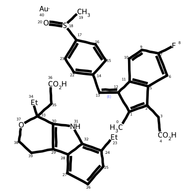 CC1=C(CC(=O)O)c2cc(F)ccc2/C1=C\c1ccc(S(C)=O)cc1.CCc1cccc2c3c([nH]c12)C(CC)(CC(=O)O)OCC3.[Au]